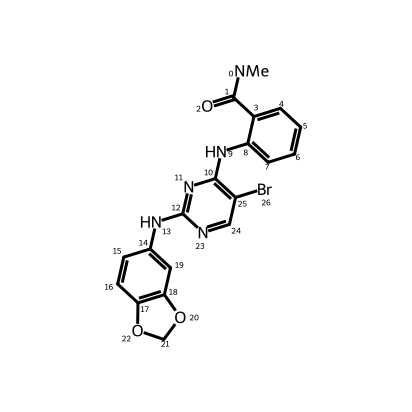 CNC(=O)c1ccccc1Nc1nc(Nc2ccc3c(c2)OCO3)ncc1Br